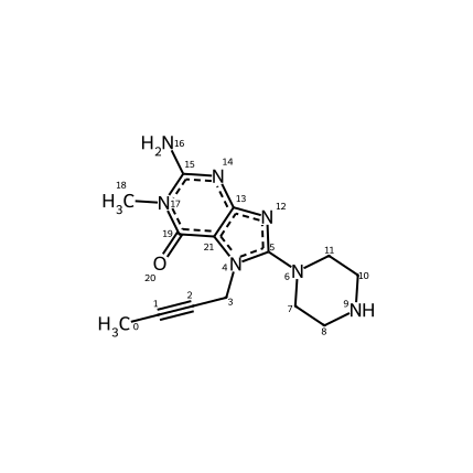 CC#CCn1c(N2CCNCC2)nc2nc(N)n(C)c(=O)c21